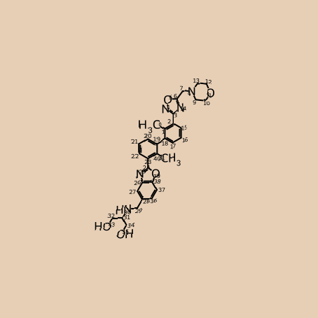 Cc1c(-c2noc(CN3CCOCC3)n2)cccc1-c1cccc(-c2nc3cc(CNC(CO)CO)ccc3o2)c1C